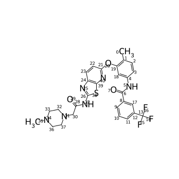 Cc1ccc(NC(=O)c2cccc(C(F)(F)F)c2)cc1Oc1ccc2nc(NC(=O)CN3CCN(C)CC3)sc2n1